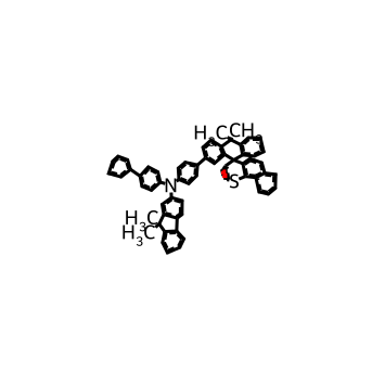 CC1(C)c2ccccc2-c2ccc(N(c3ccc(-c4ccccc4)cc3)c3ccc(-c4ccc5c(c4)C4(c6ccccc6Sc6c4ccc4ccccc64)c4ccccc4C5(C)C)cc3)cc21